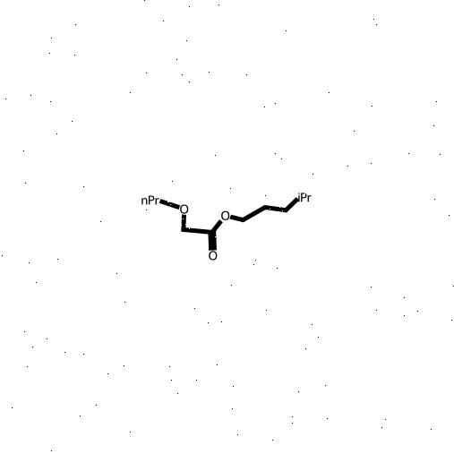 CCCOCC(=O)OCCCC(C)C